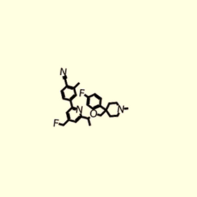 Cc1cc(-c2cc(CF)cc(C(C)OCC3(c4ccc(F)cc4)CCN(C)CC3)n2)ccc1C#N